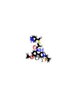 C=C(S/C=C(\C)C(=O)Nc1ccc(OC2CC2)c(C(F)(F)F)c1C1=CCN(CC2=PC=C2)CC1)c1ccnnc1